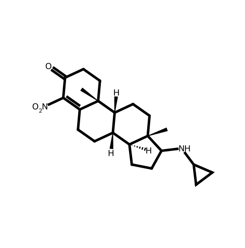 C[C@]12CCC(=O)C([N+](=O)[O-])=C1CC[C@@H]1[C@H]2CC[C@]2(C)C(NC3CC3)CC[C@@H]12